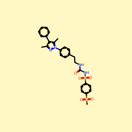 Cc1nn(-c2ccc(CCNC(=O)NS(=O)(=O)c3ccc(S(C)(=O)=O)cc3)cc2)c(C)c1-c1ccccc1